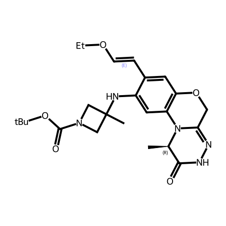 CCO/C=C/c1cc2c(cc1NC1(C)CN(C(=O)OC(C)(C)C)C1)N1C(=NNC(=O)[C@H]1C)CO2